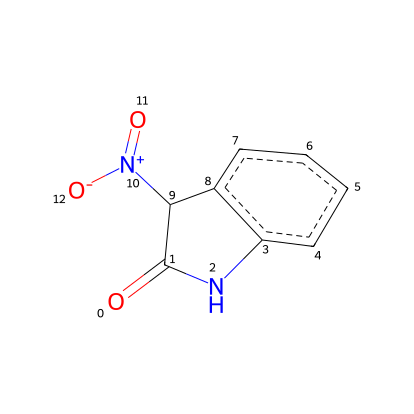 O=C1Nc2ccccc2C1[N+](=O)[O-]